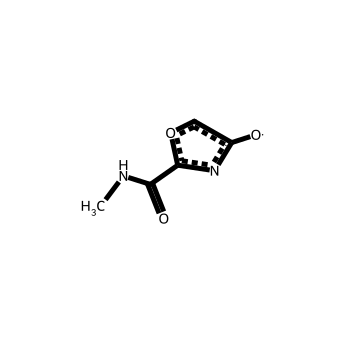 CNC(=O)c1nc([O])co1